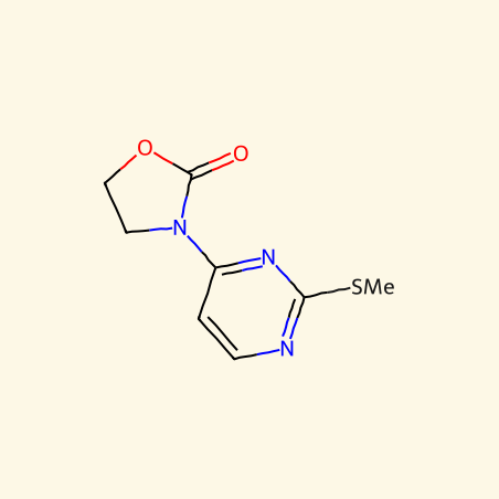 CSc1nccc(N2CCOC2=O)n1